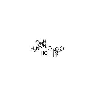 Cl.Nc1nc(NC[C@H]2CC[C@H](CNS(=O)(=O)Cc3ccccc3)CC2)nc2ccccc12